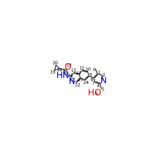 Cc1cnc(CO)cc1-c1ccc2cc(NC(=O)C3CC3)ncc2c1